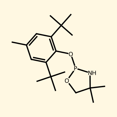 Cc1cc(C(C)(C)C)c(OP2NC(C)(C)CO2)c(C(C)(C)C)c1